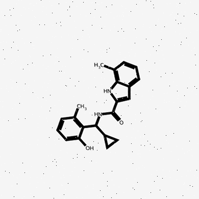 Cc1cccc(O)c1C(NC(=O)c1cc2cccc(C)c2[nH]1)C1CC1